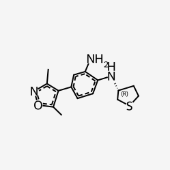 Cc1noc(C)c1-c1ccc(N[C@@H]2CCSC2)c(N)c1